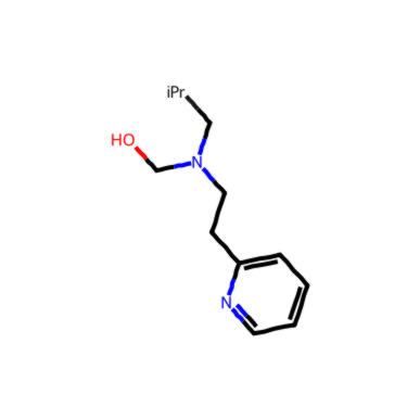 CC(C)CN(CO)CCc1ccccn1